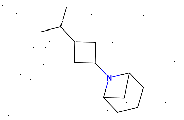 CC(C)C1CC(N2C3CCCC2C3)C1